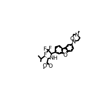 COC(=O)[C@H](CC(C)C)NC(c1ccc2c(c1)oc1ccc(N3CCN(C)CO3)cc12)C(F)(F)F